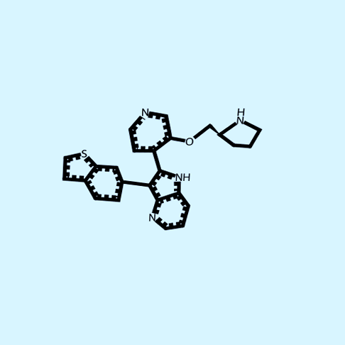 c1cnc2c(-c3ccc4ccsc4c3)c(-c3ccncc3OC[C@@H]3CCCN3)[nH]c2c1